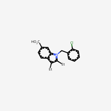 CCc1c(CC)n(Cc2ccccc2Cl)c2cc(C(=O)O)ccc12